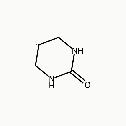 O=C1NC[CH]CN1